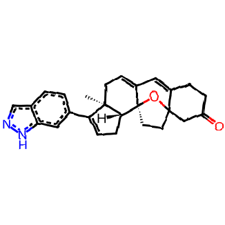 C[C@]12CC=C3C=C4CCC(=O)CC45CC[C@]3(O5)[C@@H]1CC=C2c1ccc2cn[nH]c2c1